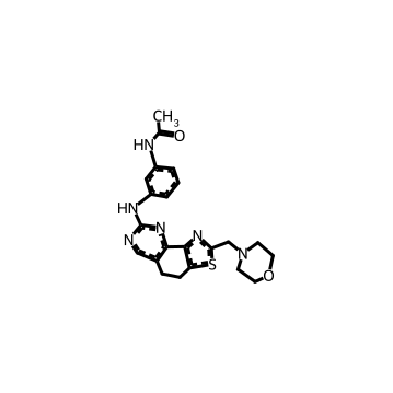 CC(=O)Nc1cccc(Nc2ncc3c(n2)-c2nc(CN4CCOCC4)sc2CC3)c1